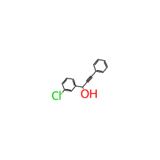 OC(C#Cc1ccccc1)c1cccc(Cl)c1